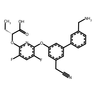 CC[C@@H](Oc1nc(Oc2cc(CC#N)cc(-c3cccc(CN)c3)c2)c(F)cc1F)C(=O)O